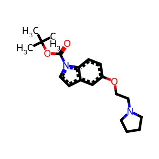 CC(C)(C)OC(=O)n1ccc2cc(OCCN3CCCC3)ccc21